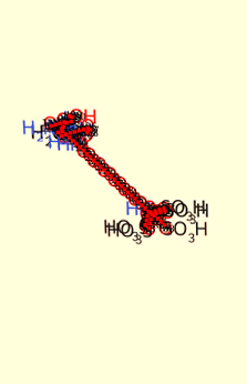 C=C(C)[C@H](NC(=O)[C@H](CCCCNC(=O)CCOCCOCCOCCOCCOCCOCCOCCOCCOCCOCCOCCOCCNC(=O)[C@H](OCCCCOS(=O)(=O)O)[C@@H](OCCCCOS(=O)(=O)O)[C@H](OCCCCOS(=O)(=O)O)[C@@H](COCCCCOS(=O)(=O)O)OCCCCOS(=O)(=O)O)NC(=O)CCCCCN1C(=O)C=CC1=O)C(=O)N[C@@H](CCCNC(N)=O)C(=O)Nc1ccc(CO)cc1